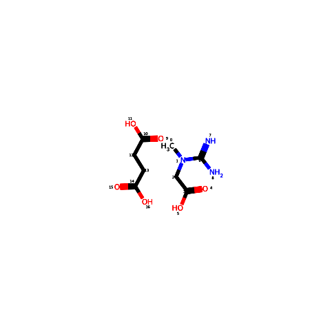 CN(CC(=O)O)C(=N)N.O=C(O)CCC(=O)O